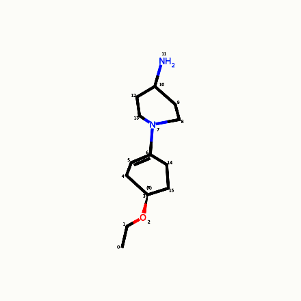 CCO[C@H]1CC=C(N2CCC(N)CC2)CC1